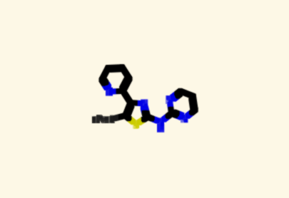 CCCCCc1sc(Nc2ncccn2)nc1-c1ccccn1